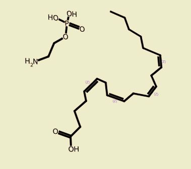 CCCCC/C=C\C/C=C\C/C=C\C/C=C\CCCC(=O)O.NCCOP(=O)(O)O